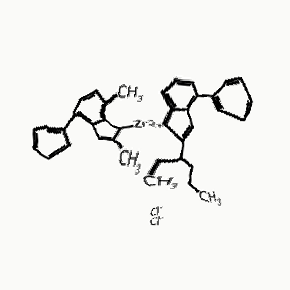 CCCC(CC)C1=Cc2c(-c3ccccc3)cccc2[CH]1[Zr+2][CH]1C(C)=Cc2c(-c3ccccc3)ccc(C)c21.[Cl-].[Cl-]